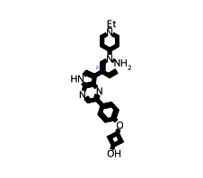 C=C/C(=C\N(N)C1CCN(CC)CC1)c1c[nH]c2ncc(-c3ccc(OC4CC(O)C4)cc3)nc12